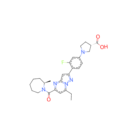 CCc1cc(C(=O)N2CCCCC[C@H]2C)nc2cc(-c3ccc(N4CC[C@H](C(=O)O)C4)cc3F)nn12